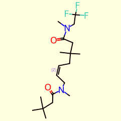 CN(C/C=C\CC(C)(C)CC(=O)N(C)CC(F)(F)F)C(=O)CC(C)(C)C